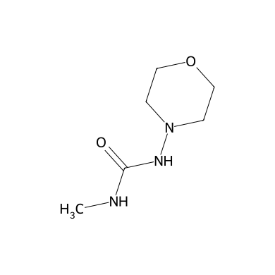 CNC(=O)NN1CCOCC1